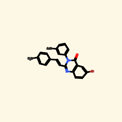 CC(=O)Oc1cccc(-n2c(/C=C/c3ccc([N+](=O)[O-])cc3)nc3ccc(Br)cc3c2=O)c1